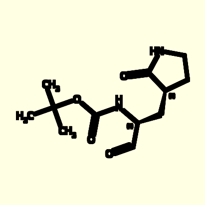 CC(C)(C)OC(=O)N[C@H](C=O)C[C@@H]1CCNC1=O